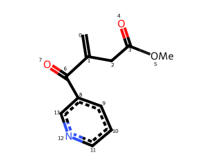 C=C(CC(=O)OC)C(=O)c1cccnc1